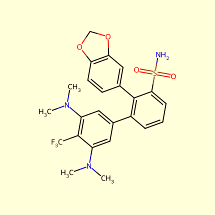 CN(C)c1cc(-c2cccc(S(N)(=O)=O)c2-c2ccc3c(c2)OCO3)cc(N(C)C)c1C(F)(F)F